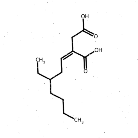 CCCCC(CC)CC=C(CC(=O)O)C(=O)O